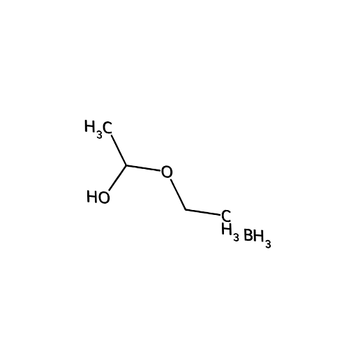 B.CCOC(C)O